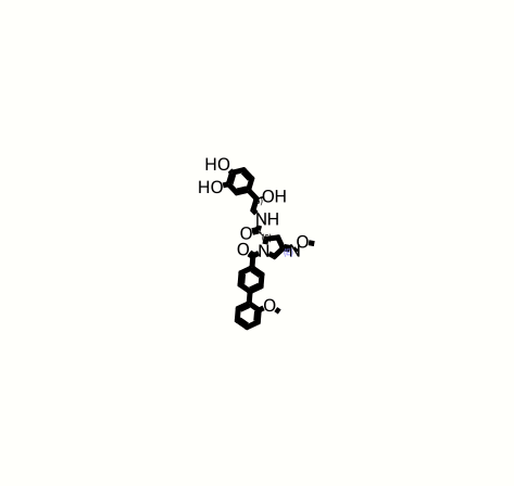 CO/N=C1\C[C@@H](C(=O)NC[C@@H](O)c2ccc(O)c(O)c2)N(C(=O)c2ccc(-c3ccccc3OC)cc2)C1